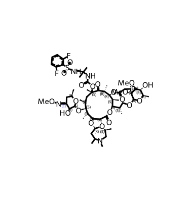 CO/N=C1\C[C@@H](C)O[C@@H](O[C@@H]2[C@@H](C)[C@H](O[C@H]3CC(C)N(C)C[C@H](C)O3)[C@@H](C)C(=O)O[C@H]([C@@H](C)CO[C@@H]3O[C@H](C)[C@@H](O)[C@@H](OC)[C@H]3OC)[C@H](C)[C@@H](OC(=O)CC(C)C)[C@@H](C)C(=O)[C@@](C)(OC(=O)NC(C)(C)CNS(=O)(=O)c3c(F)cccc3F)C[C@@H]2C)[C@@H]1O